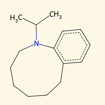 CC(C)N1CCCCCCc2ccccc21